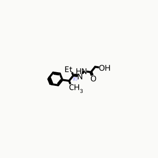 CC/C(=N\NC(=O)CO)C(C)c1cc#ccc1